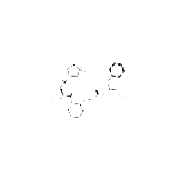 CC(C)(/C=C(/C#N)C(=O)N1CCCCC1COC(=O)NC(Cc1ccccc1)B(O)O)N1CCC(F)(F)C1